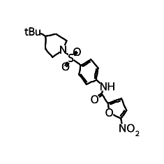 CC(C)(C)C1CCN(S(=O)(=O)c2ccc(NC(=O)c3ccc([N+](=O)[O-])o3)cc2)CC1